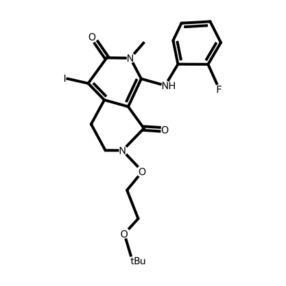 Cn1c(Nc2ccccc2F)c2c(c(I)c1=O)CCN(OCCOC(C)(C)C)C2=O